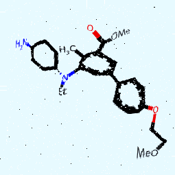 CCN(c1cc(-c2ccc(OCCOC)cc2)cc(C(=O)OC)c1C)[C@H]1CC[C@H](N)CC1